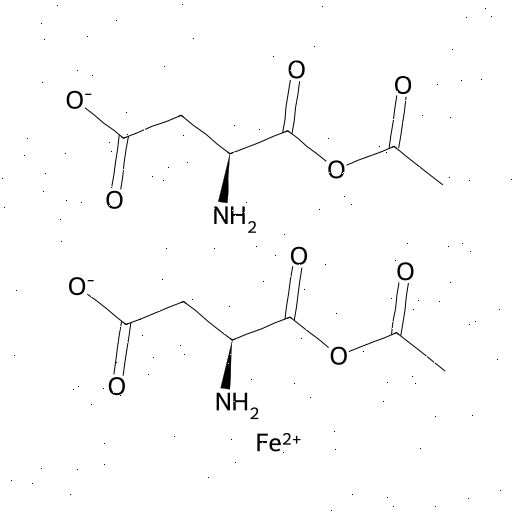 CC(=O)OC(=O)[C@@H](N)CC(=O)[O-].CC(=O)OC(=O)[C@@H](N)CC(=O)[O-].[Fe+2]